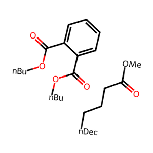 CCCCCCCCCCCCCC(=O)OC.CCCCOC(=O)c1ccccc1C(=O)OCCCC